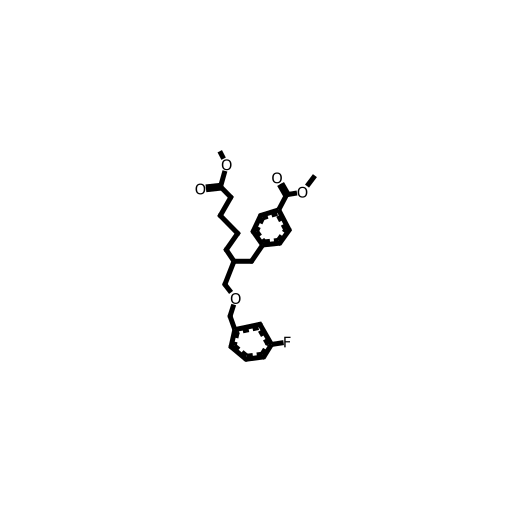 COC(=O)CCCCC(COCc1cccc(F)c1)Cc1ccc(C(=O)OC)cc1